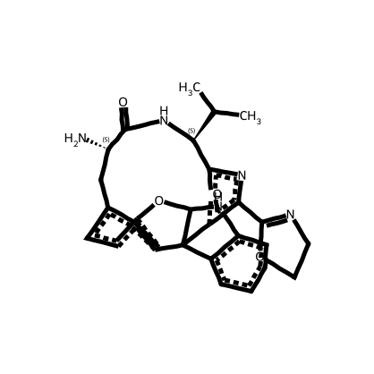 CC(C)[C@@H]1NC(=O)[C@@H](N)Cc2ccc3c(c2)C2(c4ccccc4NC2O3)c2oc1nc2C1=NCCO1